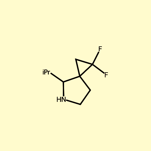 CC(C)C1NCCC12CC2(F)F